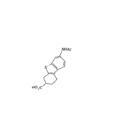 CC(=O)Nc1ccc2c3c(sc2c1)CC(C(=O)O)CC3